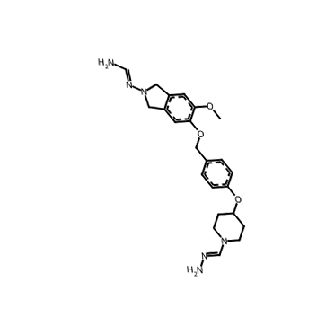 COc1cc2c(cc1OCc1ccc(OC3CCN(C=NN)CC3)cc1)CN(N=CN)C2